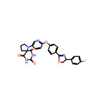 O=C1NC(=O)C2(CCCN2c2ccc(Oc3ccc(C4=NC(c5ccc(F)cc5)CO4)cc3)nc2)C(=O)N1